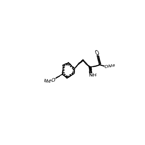 COC(=O)C(=N)Cc1ccc(OC)cc1